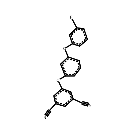 N#Cc1cc(C#N)cc(Oc2cccc(Oc3cccc(F)c3)c2)c1